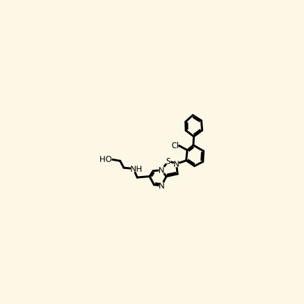 OCCNCC1=CN2SN(c3cccc(-c4ccccc4)c3Cl)C=C2N=C1